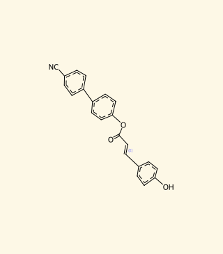 N#Cc1ccc(-c2ccc(OC(=O)/C=C/c3ccc(O)cc3)cc2)cc1